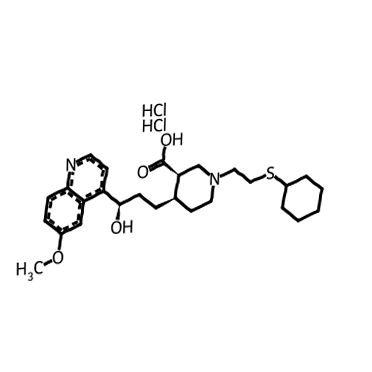 COc1ccc2nccc([C@H](O)CC[C@@H]3CCN(CCSC4CCCCC4)C[C@@H]3C(=O)O)c2c1.Cl.Cl